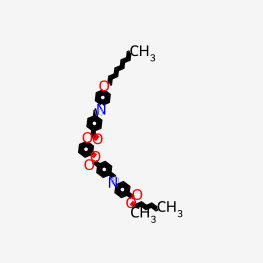 CCCCCCCCCOc1ccc(/N=C/c2ccc(C(=O)Oc3cccc(OC(=O)c4ccc(/C=N/c5ccc(C(=O)OC(C)CCCCC)cc5)cc4)c3)cc2)cc1